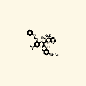 CCN1C(/C(=N/c2ccc(N(C)C)cc2/N=C/Oc2ccccc2)C(=O)Nc2cc(NC(C)=O)ccc2C)=Nc2ncncc2S1(=O)=O